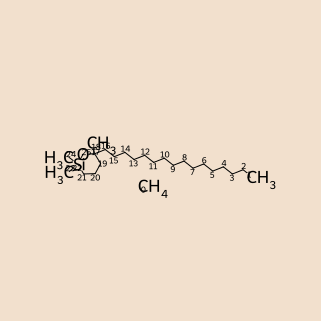 C.CCCCCCCCCCCCCCCCC1(C)CCC[Si](C)(C)O1